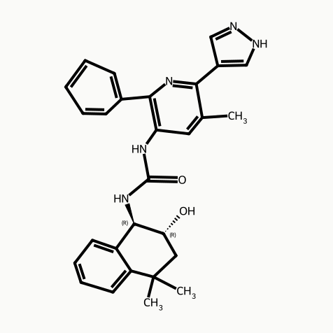 Cc1cc(NC(=O)N[C@@H]2c3ccccc3C(C)(C)C[C@H]2O)c(-c2ccccc2)nc1-c1cn[nH]c1